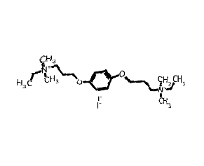 CC[N+](C)(C)CCCOc1ccc(OCCC[N+](C)(C)CC)cc1.[I-].[I-]